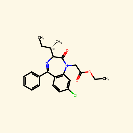 CCOC(=O)CN1C(=O)C([C@@H](C)CC)N=C(c2ccccc2)c2ccc(Cl)cc21